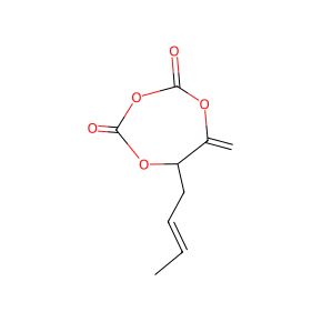 C=C1OC(=O)OC(=O)OC1CC=CC